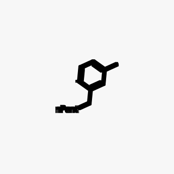 CCCCCCc1[c]ccc(C)c1